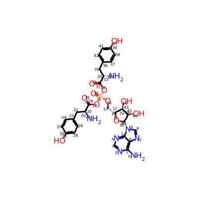 Nc1ncnc2c1ncn2[C@@H]1O[C@H](COP(=O)(OC(=O)[C@@H](N)Cc2ccc(O)cc2)OC(=O)[C@@H](N)Cc2ccc(O)cc2)[C@@H](O)[C@H]1O